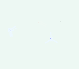 CC(c1ccncc1)N(C)C(=O)C(C)(C)C